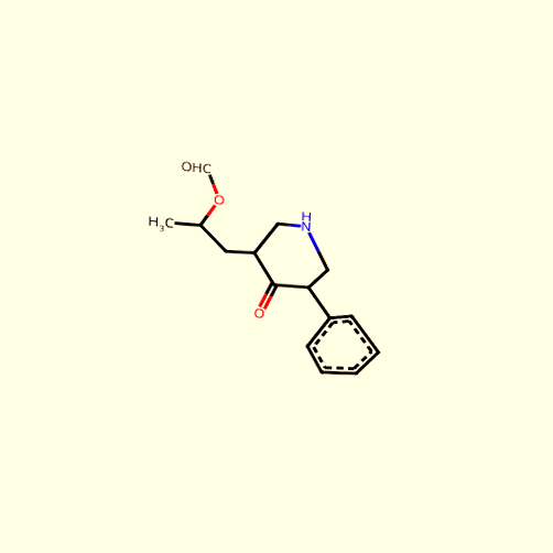 CC(CC1CNCC(c2ccccc2)C1=O)OC=O